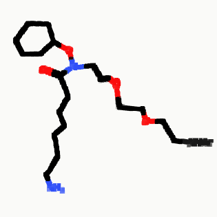 CC(=O)NCCOCCOCCN(OC1CCCCC1)C(=O)CCCCCCN